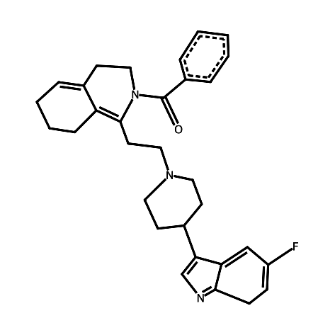 O=C(c1ccccc1)N1CCC2=CCCCC2=C1CCN1CCC(C2=CN=C3CC=C(F)C=C23)CC1